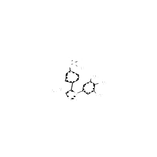 COc1cc(-n2nncc2-c2ccc(OP(=O)(O)O)cc2)cc(OC)c1OC.[NaH].[NaH]